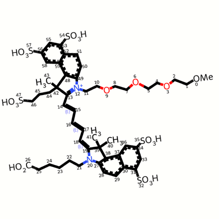 COCCOCCOCCOCC[N+]1=C(/C=C/C=C/C=C2/N(CCCCCC(=O)O)c3ccc4c(S(=O)(=O)O)cc(S(=O)(=O)O)cc4c3C2(C)C)C(C)(CCCS(=O)(=O)O)c2c1ccc1c(S(=O)(=O)O)cc(S(=O)(=O)O)cc21